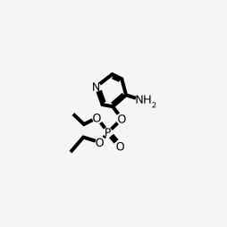 CCOP(=O)(OCC)Oc1cnccc1N